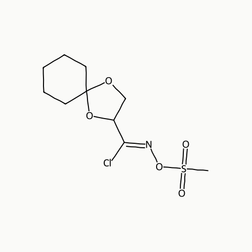 CS(=O)(=O)O/N=C(\Cl)C1COC2(CCCCC2)O1